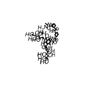 CC(=O)N(NC(=O)c1cccc(NC(=O)c2cccc(C(=O)NC(C)N)c2)c1)c1c(I)c(C(=O)NCC(O)C(O)C(O)C(O)CO)c(I)c(C(=O)NCC(O)C(O)C(O)C(O)CO)c1I